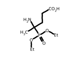 CCOP(=O)(OCC)C(C)(N)CCC(=O)O